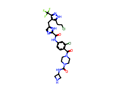 O=C(Nc1ccc(C(=O)N2CCN(C(=O)NC3CNC3)CC2)c(Cl)c1)c1ncc(Cc2c(C(F)(F)F)n[nH]c2CCCl)[nH]1